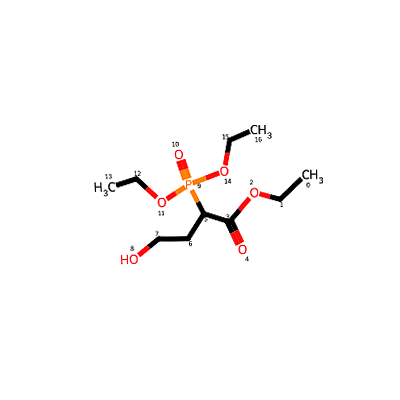 CCOC(=O)C(CCO)P(=O)(OCC)OCC